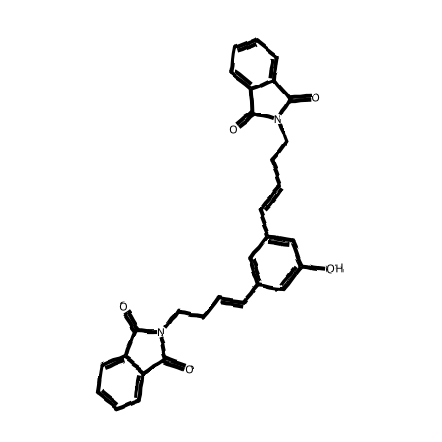 O=C1c2ccccc2C(=O)N1CCC=Cc1cc(O)cc(C=CCCN2C(=O)c3ccccc3C2=O)c1